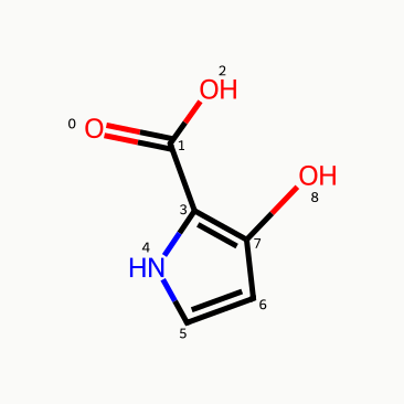 O=C(O)c1[nH]ccc1O